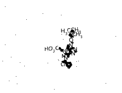 C[Si](C)(C)CCOCn1ccc2c(-c3cn(C(CC#N)C4CCCC4)nc3NCCC(=O)O)ncnc21